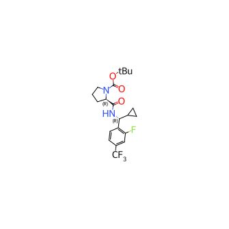 CC(C)(C)OC(=O)N1CCC[C@@H]1C(=O)N[C@@H](c1ccc(C(F)(F)F)cc1F)C1CC1